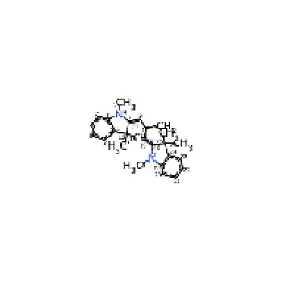 C=C(/C=C1/N(C)c2ccccc2C1(C)C)/C=C1/N(C)c2ccccc2C1(C)C